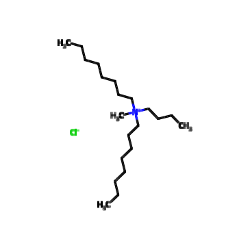 CCCCCCCC[N+](C)(CCCC)CCCCCCCC.[Cl-]